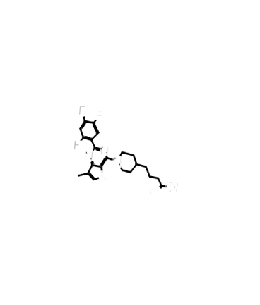 Cc1csc2c(N3CCC(CCCC(=O)O)CC3)nc(-c3cc(F)c(F)cc3F)nc12